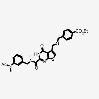 CCOC(=O)c1ccc(COCc2csc3nc(C(=O)NCc4cccc(N(C)C(C)=O)c4)[nH]c(=O)c23)cc1